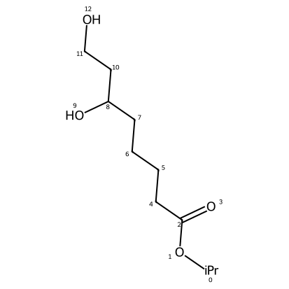 CC(C)OC(=O)CCCCC(O)CCO